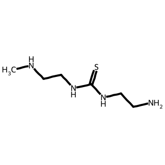 CNCCNC(=S)NCCN